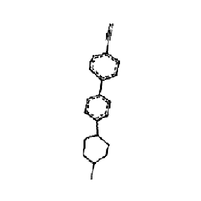 N#Cc1ccc(-c2ccc(C3CCC(I)CC3)cc2)cc1